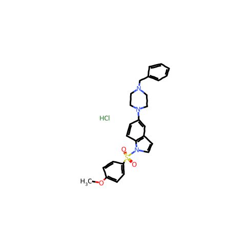 COc1ccc(S(=O)(=O)n2ccc3cc(N4CCN(Cc5ccccc5)CC4)ccc32)cc1.Cl